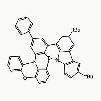 CC(C)(C)c1ccc2c(c1)c1cc(C(C)(C)C)cc3c1n2B1c2cccc4c2N(c2ccccc2O4)c2cc(-c4ccccc4)cc-3c21